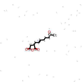 CC[Si](=O)CCC/C=C/CC1CC(=O)OC1=O